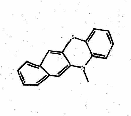 CN1c2ccccc2Sc2cc3ccccc3cc21